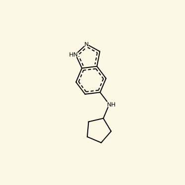 c1cc2[nH]ncc2cc1NC1CCCC1